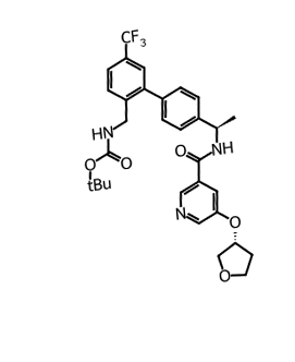 C[C@@H](NC(=O)c1cncc(O[C@@H]2CCOC2)c1)c1ccc(-c2cc(C(F)(F)F)ccc2CNC(=O)OC(C)(C)C)cc1